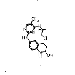 CC(CCl)Nc1nc(Nc2ccc3c(c2)CCC(O)N3)ncc1C(F)(F)F